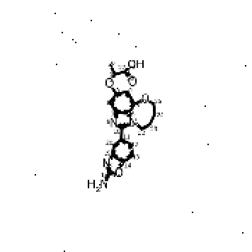 CC(Oc1cc2c3c(c1)nc(-c1ccc4oc(N)nc4c1)n3CCCCO2)C(=O)O